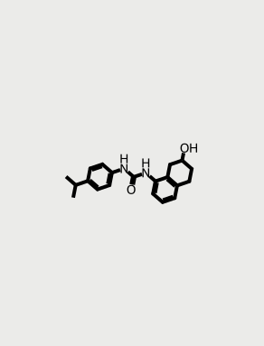 CC(C)c1ccc(NC(=O)Nc2cccc3c2CC(O)CC3)cc1